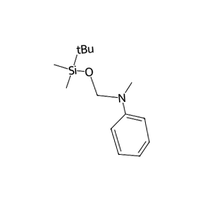 CN(CO[Si](C)(C)C(C)(C)C)c1ccccc1